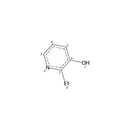 C[CH]c1ncccc1O